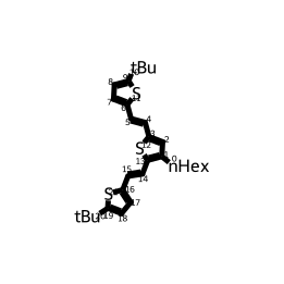 CCCCCCc1cc(/C=C/c2ccc(C(C)(C)C)s2)sc1/C=C/c1ccc(C(C)(C)C)s1